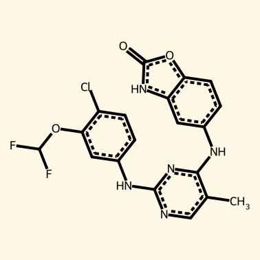 Cc1cnc(Nc2ccc(Cl)c(OC(F)F)c2)nc1Nc1ccc2oc(=O)[nH]c2c1